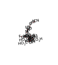 CCSSCC(NC(=O)[C@H](CC(=O)O)NC(=O)[C@@H](NC(=O)[C@H](CCC(=O)O)NC(=O)[C@H](CC(=O)O)NC(C)=O)C(C)C)C(=O)NC(Cc1cn(CCOCCF)nn1)C(=O)Nc1ccc2nc(C3=N[C@@H](C(=O)NCCCOc4ccc5nc(C#N)ccc5c4)CS3)sc2c1